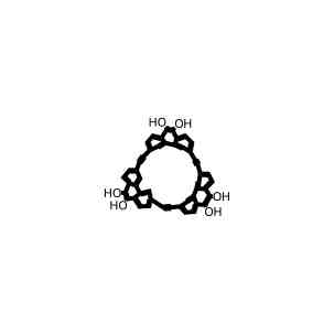 Oc1c(O)c2ccc3c#cc4ccc5c(O)c(O)c6ccc(c#cc7ccc8c(O)c(O)c9ccc(c#cc%10ccc1c(c%10)c2c3)cc9c8c7)cc6c5c4